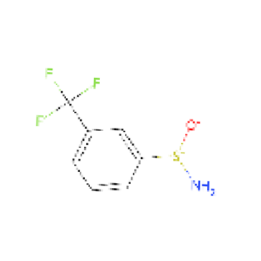 N[S+]([O-])c1cccc(C(F)(F)F)c1